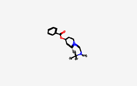 [2H]C([2H])([2H])N(C)CN1CCC(OC(=O)c2ccccc2)CC1